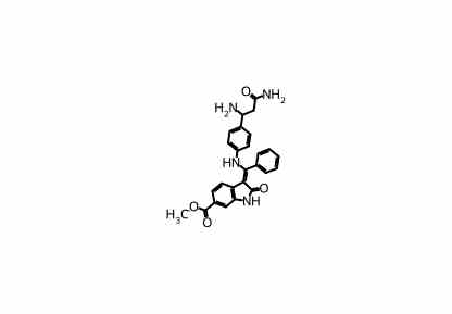 COC(=O)c1ccc2c(c1)NC(=O)C2=C(Nc1ccc(C(N)CC(N)=O)cc1)c1ccccc1